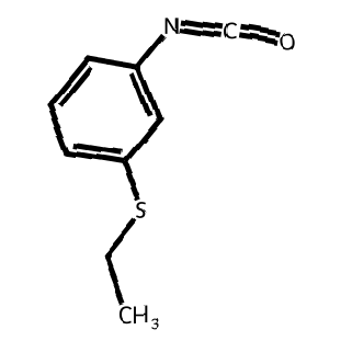 CCSc1cccc(N=C=O)c1